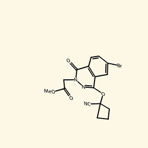 COC(=O)Cn1nc(OC2(C#N)CCC2)c2cc(Br)ccc2c1=O